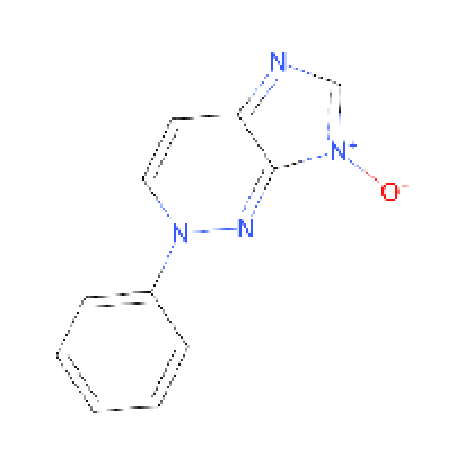 [O-][n+]1cnc2ccn(-c3ccccc3)nc1-2